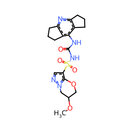 COC1COc2c(S(=O)(=O)NC(=O)Nc3c4c(nc5c3CCC5)CCC4)cnn2C1